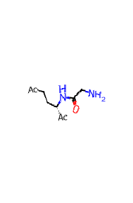 CC(=O)CC[C@H](NC(=O)CN)C(C)=O